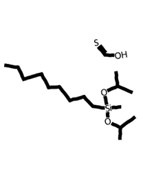 CCCCCCCCC[Si](C)(OC(C)C)OC(C)C.OC=S